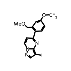 COCc1cc(OC(F)(F)F)ccc1-c1ccn2ncc(I)c2n1